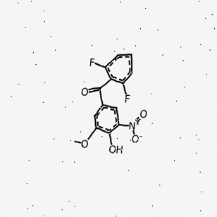 COc1cc(C(=O)c2c(F)cccc2F)cc([N+](=O)[O-])c1O